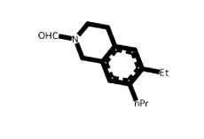 CCCc1cc2c(cc1CC)CCN(C=O)C2